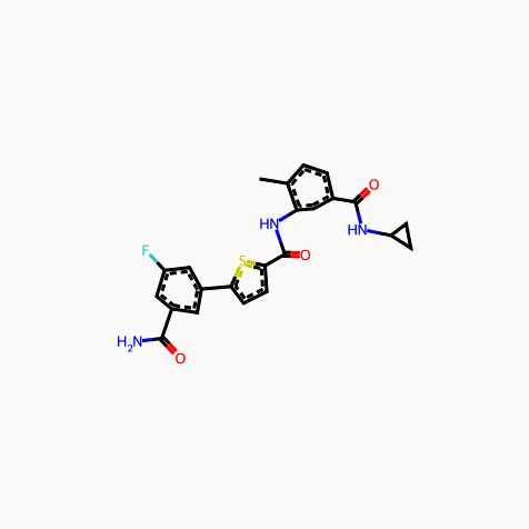 Cc1ccc(C(=O)NC2CC2)cc1NC(=O)c1ccc(-c2cc(F)cc(C(N)=O)c2)s1